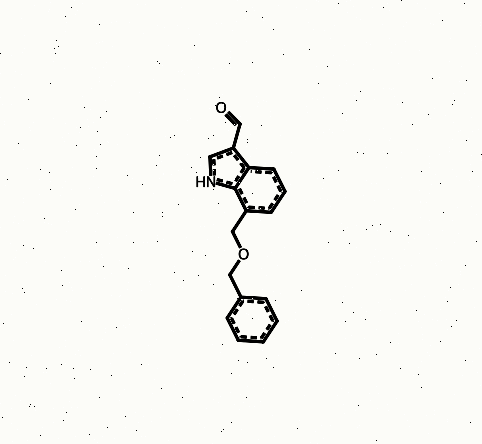 O=Cc1c[nH]c2c(COCc3ccccc3)cccc12